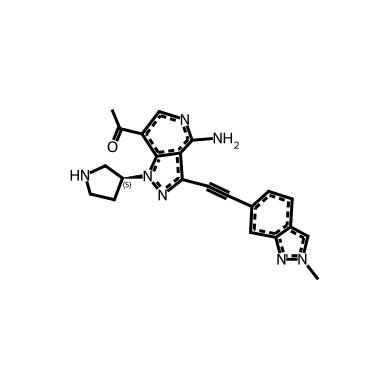 CC(=O)c1cnc(N)c2c(C#Cc3ccc4cn(C)nc4c3)nn([C@H]3CCNC3)c12